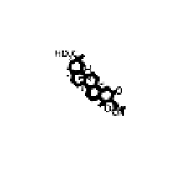 CO[C@]1(C)C2=CC=C3[C@@](C)(CC[C@@]4(C)[C@@H]5C[C@](C)(C(=O)O)CC[C@]5(C)CC[C@]34C)C2=CC(=O)C1CC#N